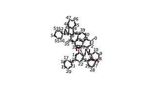 Cc1cc(N(c2ccccc2)c2c(F)cc(-c3ccccc3)cc2-c2ccccc2)c2ccc3c(C)c4c(c5ccc1c2c35)c1ccccc1n4-c1ccccc1